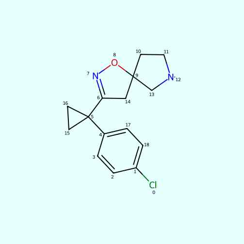 Clc1ccc(C2(C3=NOC4(CC[N]C4)C3)CC2)cc1